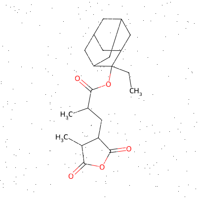 CCC1(OC(=O)C(C)CC2C(=O)OC(=O)C2C)C2CC3CC(C2)CC1C3